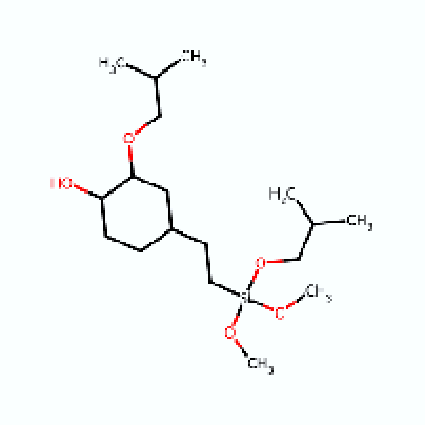 CO[Si](CCC1CCC(O)C(OCC(C)C)C1)(OC)OCC(C)C